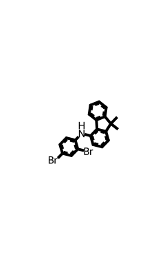 CC1(C)c2ccccc2-c2c(Nc3ccc(Br)cc3Br)cccc21